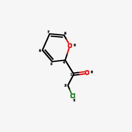 O=C(CCl)C1C=CC=CO1